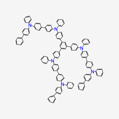 c1ccc(-c2ccc(N(c3ccccc3)c3ccc(-c4ccc(N(c5ccccc5)c5ccc(-c6cc(-c7ccc(N(c8ccccc8)c8ccc(-c9ccc(N(c%10ccccc%10)c%10ccc(-c%11ccccc%11)cc%10)cc9)cc8)cc7)cc(-c7ccc(N(c8ccccc8)c8ccc(-c9ccc(N(c%10ccccc%10)c%10ccc(-c%11ccccc%11)cc%10)cc9)cc8)cc7)c6)cc5)cc4)cc3)cc2)cc1